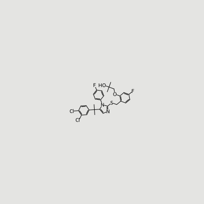 CC(C)(O)COc1cc(F)ccc1CSc1ncc(C(C)(C)c2ccc(Cl)c(Cl)c2)n1-c1ccc(F)cc1